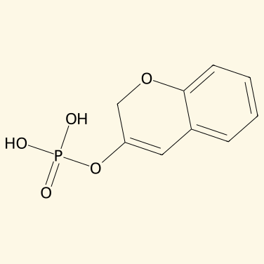 O=P(O)(O)OC1=Cc2ccccc2OC1